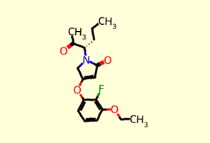 CCC[C@@H](C(C)=O)N1CC(Oc2cccc(OCC)c2F)=CC1=O